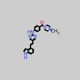 CN1CCN(C(=O)c2ccc(Nc3ncc(C=Cc4cccc5[nH]ccc45)cn3)cc2)CC1